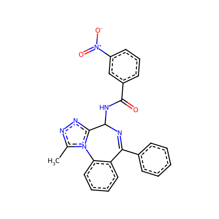 Cc1nnc2n1-c1ccccc1C(c1ccccc1)=NC2NC(=O)c1cccc([N+](=O)[O-])c1